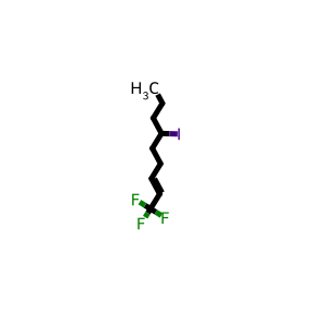 CCCC(I)CCC=CC(F)(F)F